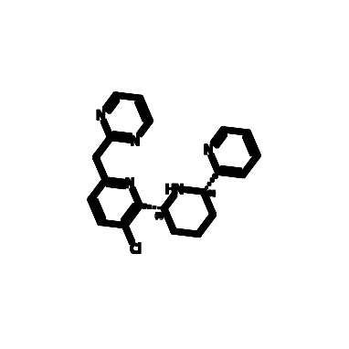 Clc1ccc(Cc2ncccn2)nc1[C@H]1CCC[C@@H](c2ccccn2)N1